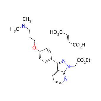 CCOC(=O)Cn1nc(-c2ccc(OCCCN(C)C)cc2)c2cccnc21.O=C(O)C=CC(=O)O